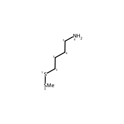 CSSCCCCN